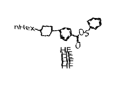 CCCCCCC1CCC(c2ccc(C(=O)OSc3ccccc3)cc2)CC1.F.F.F.F.F